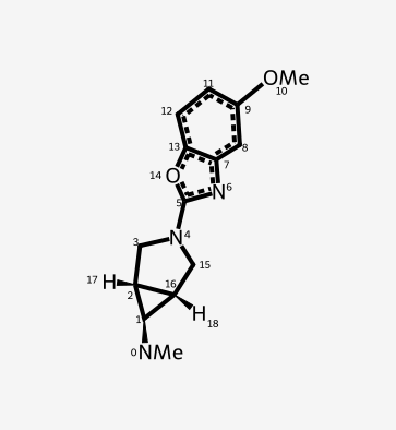 CN[C@H]1[C@@H]2CN(c3nc4cc(OC)ccc4o3)C[C@@H]21